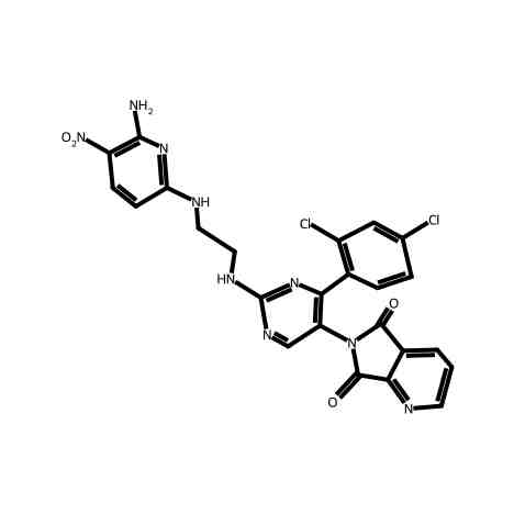 Nc1nc(NCCNc2ncc(N3C(=O)c4cccnc4C3=O)c(-c3ccc(Cl)cc3Cl)n2)ccc1[N+](=O)[O-]